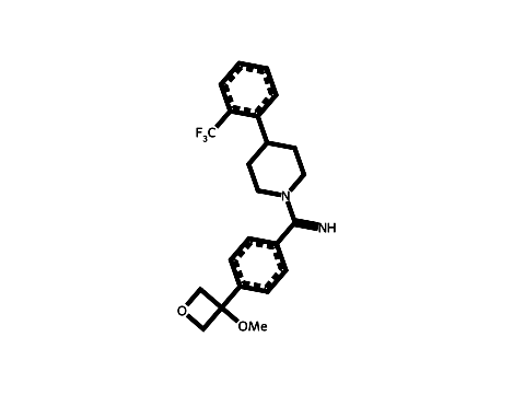 COC1(c2ccc(C(=N)N3CCC(c4ccccc4C(F)(F)F)CC3)cc2)COC1